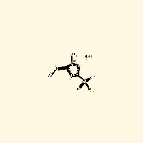 CC(=O)/N=c1\sc(S(N)(=O)=O)nn1C.[NaH]